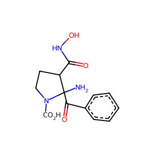 NC1(C(=O)c2ccccc2)C(C(=O)NO)CCN1C(=O)O